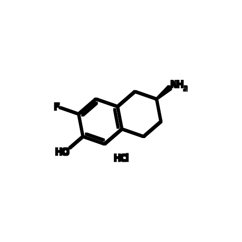 Cl.N[C@H]1CCc2cc(O)c(F)cc2C1